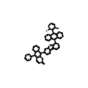 C=C1C=Cc2c(c(-c3ccc4c(c3)sc3c(-c5c6ccccc6c(C6=C(F)C=CCC6F)c6ccccc56)cccc34)c3ccccc3c2-c2ccccc2)C1